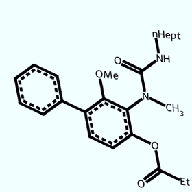 CCCCCCCNC(=O)N(C)c1c(OC(=O)CC)ccc(-c2ccccc2)c1OC